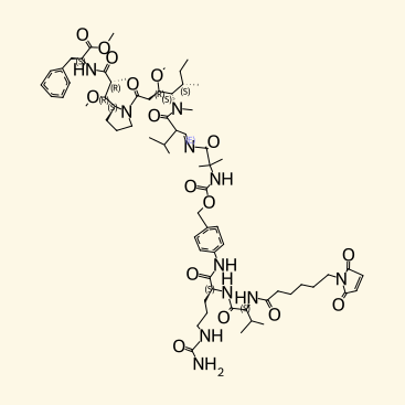 CC[C@H](C)[C@@H]([C@@H](CC(=O)N1CCC[C@H]1[C@H](OC)[C@@H](C)C(=O)N[C@@H](Cc1ccccc1)C(=O)OC)OC)N(C)C(=O)C(/C=N/C(=O)C(C)(C)NC(=O)OCc1ccc(NC(=O)[C@H](CCCNC(N)=O)NC(=O)[C@@H](NC(=O)CCCCCN2C(=O)C=CC2=O)C(C)C)cc1)C(C)C